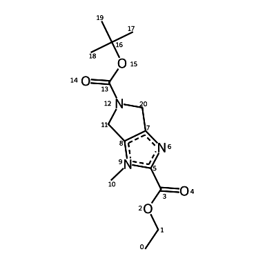 CCOC(=O)c1nc2c(n1C)CN(C(=O)OC(C)(C)C)C2